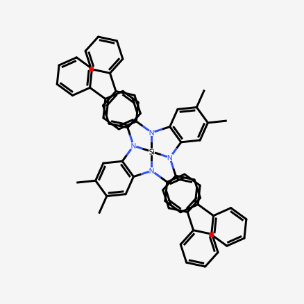 Cc1cc2c(cc1C)N(c1ccc(-c3ccccc3)cc1)[Si]1(N2c2ccc(-c3ccccc3)cc2)N(c2ccc(-c3ccccc3)cc2)c2cc(C)c(C)cc2N1c1ccc(-c2ccccc2)cc1